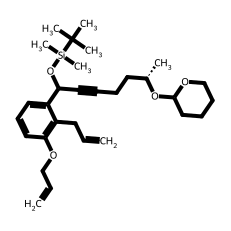 C=CCOc1cccc(C(C#CCC[C@H](C)OC2CCCCO2)O[Si](C)(C)C(C)(C)C)c1CC=C